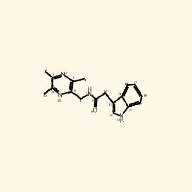 Cc1nc(C)c(CNC(=O)Cc2c[nH]c3ccccc23)nc1C